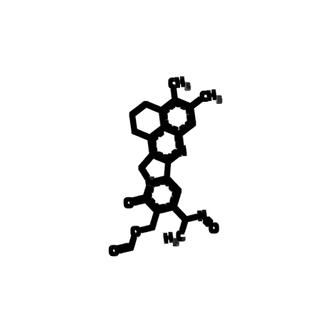 Cc1cc2nc3c(c4c2c(c1C)CCC4)Cn1c-3cc(C(C)N=O)c(COC=O)c1=O